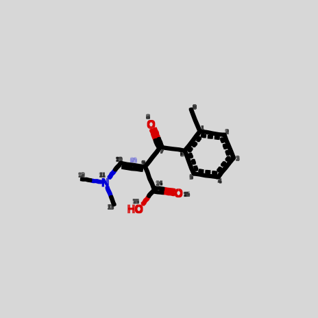 Cc1ccccc1C(=O)/C(=C/N(C)C)C(=O)O